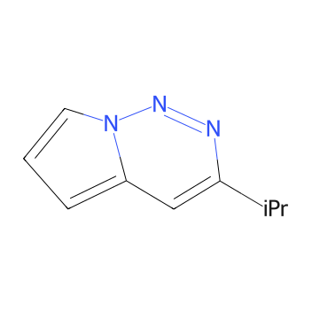 CC(C)c1cc2cccn2nn1